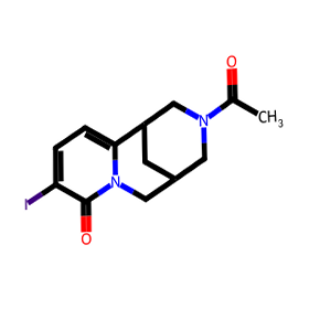 CC(=O)N1CC2CC(C1)c1ccc(I)c(=O)n1C2